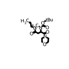 C=CCOC(=O)CC(C(=O)N1CCOCC1)N(C)C(=O)OC(C)(C)C